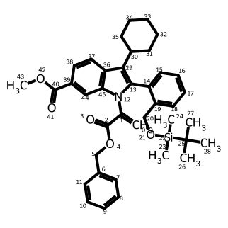 C=C(C(=O)OCc1ccccc1)n1c(-c2ccccc2CO[Si](C)(C)C(C)(C)C)c(C2CCCCC2)c2ccc(C(=O)OC)cc21